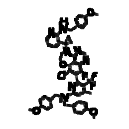 COc1ccc(CNc2ncccc2C2(N3CCOc4c(Cl)c(-c5nc(N(Cc6ccc(OC)cc6)Cc6ccc(OC)cc6)cc(C)c5C(F)(F)F)cc5ncnc3c45)CC2)cc1